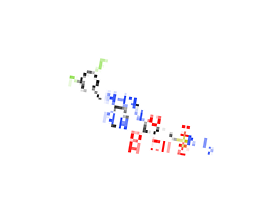 NS(=O)(=O)CC[C@H]1O[C@@H](n2cnc3c(NCc4cc(F)cc(F)c4)ncnc32)[C@H](O)[C@H]1O